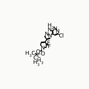 CC(C)(C)OC(=O)N1CC=C(c2cnn(-c3cc(Cl)nnc3N)c2)C(F)(F)C1